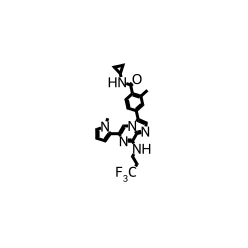 Cc1cc(-c2cnc3c(NCCC(F)(F)F)nc(-c4cccn4C)cn23)ccc1C(=O)NC1CC1